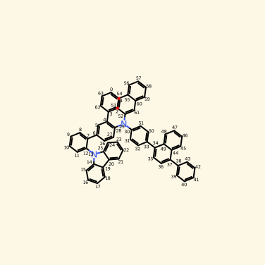 c1ccc(-c2cc(-c3ccccc3-n3c4ccccc4c4ccccc43)ccc2N(c2ccc(-c3ccc(-c4ccccc4)c4ccccc34)cc2)c2ccc3ccccc3c2)cc1